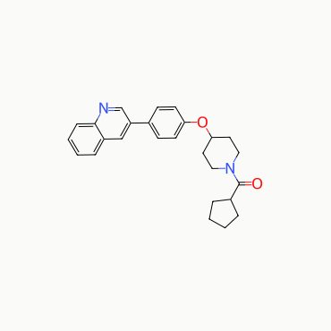 O=C(C1CCCC1)N1CCC(Oc2ccc(-c3cnc4ccccc4c3)cc2)CC1